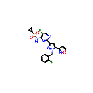 O=S(=O)(Nc1nc(-c2cc(-c3ccon3)n(Cc3ccccc3F)n2)ncc1F)C1CC1